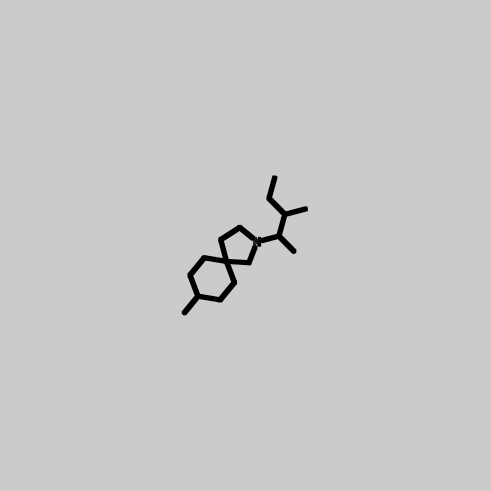 CCC(C)C(C)N1CCC2(CCC(C)CC2)C1